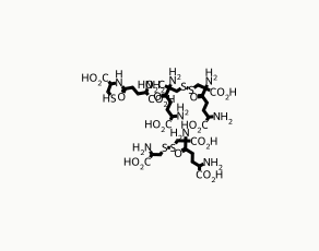 NC(CCC(=O)C(N)(CSSCC(N)(C(=O)O)C(=O)CCC(N)C(=O)O)C(=O)O)C(=O)O.NC(CCC(=O)C(N)(CSSCC(N)C(=O)O)C(=O)O)C(=O)O.NC(CCC(=O)NC(CS)C(=O)O)C(=O)O